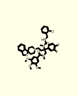 COc1cc(C(=O)N(C)CC(CCN2CCC3(CC2)SCc2ccccc23)(c2ccc(F)c(F)c2)N(C)C(=O)NCc2ccccc2Cl)cc(OC)c1OC